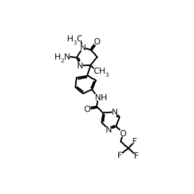 CN1C(=O)CC(C)(c2cccc(NC(=O)c3cnc(OCC(F)(F)F)cn3)c2)N=C1N